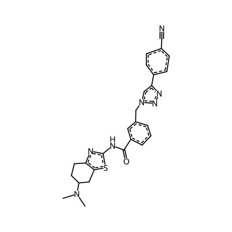 CN(C)C1CCc2nc(NC(=O)c3cccc(Cn4cc(-c5ccc(C#N)cc5)nn4)c3)sc2C1